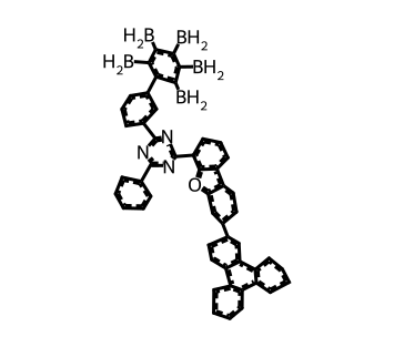 Bc1c(B)c(B)c(-c2cccc(-c3nc(-c4ccccc4)nc(-c4cccc5c4oc4cc(-c6ccc7c8ccccc8c8ccccc8c7c6)ccc45)n3)c2)c(B)c1B